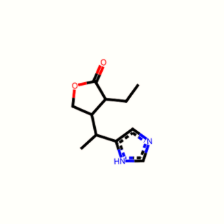 CCC1C(=O)OCC1C(C)c1cnc[nH]1